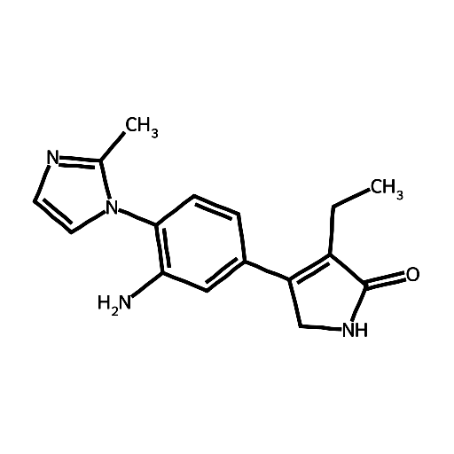 CCC1=C(c2ccc(-n3ccnc3C)c(N)c2)CNC1=O